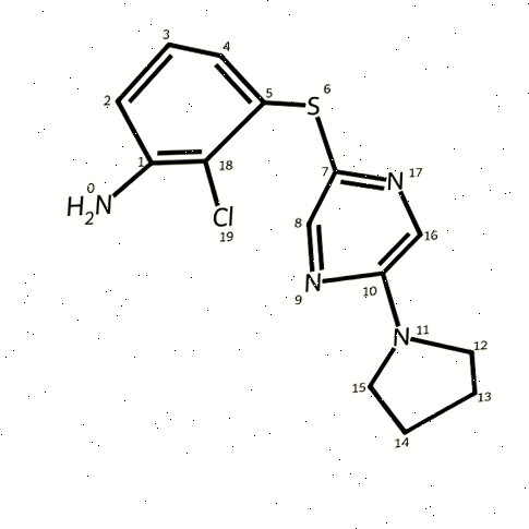 Nc1cccc(Sc2cnc(N3CCCC3)cn2)c1Cl